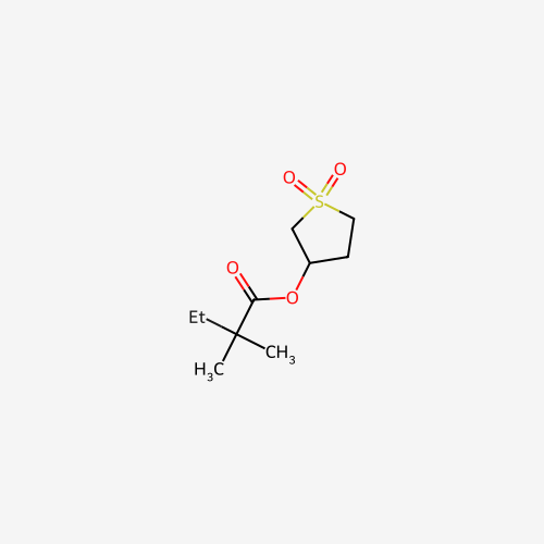 CCC(C)(C)C(=O)OC1CCS(=O)(=O)C1